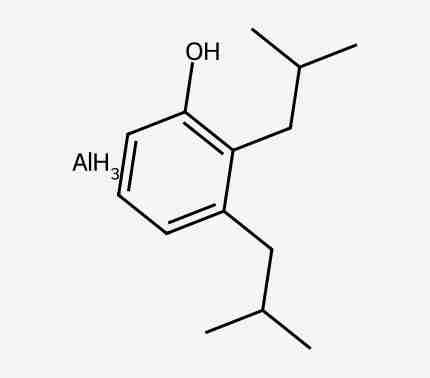 CC(C)Cc1cccc(O)c1CC(C)C.[AlH3]